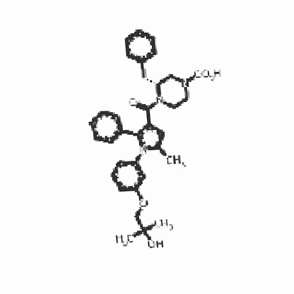 Cc1cc(C(=O)N2CCN(C(=O)O)C[C@H]2Cc2ccccc2)c(-c2ccccc2)n1-c1cccc(OCC(C)(C)O)c1